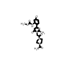 COC(=O)Nc1cc(Cl)ccc1-c1cc(=O)n(CC(=O)N2CCN(C(N)=O)CC2)c(C)n1